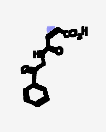 O=C(O)/C=C\C(=O)NCC(=O)c1ccccc1